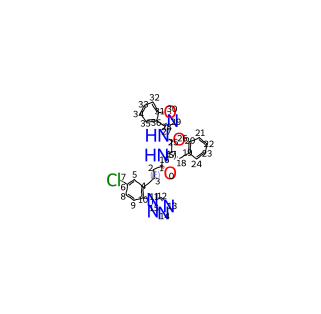 O=C(/C=C/c1cc(Cl)ccc1-n1cnnn1)N[C@@H](Cc1ccccc1)C(=O)Nc1noc2ccccc12